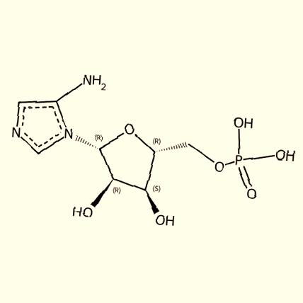 Nc1cncn1[C@@H]1O[C@H](COP(=O)(O)O)[C@@H](O)[C@H]1O